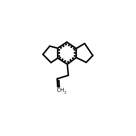 C=CCc1c2c(cc3c1CCC3)CCC2